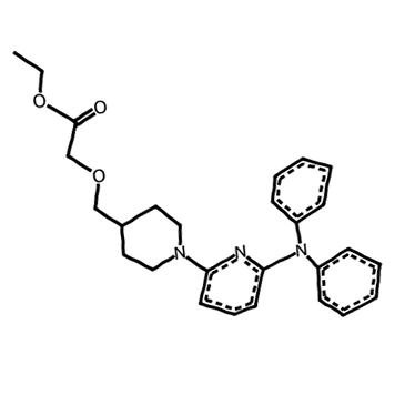 CCOC(=O)COCC1CCN(c2cccc(N(c3ccccc3)c3ccccc3)n2)CC1